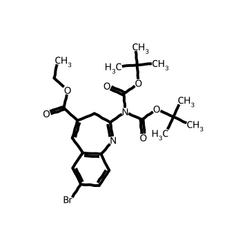 CCOC(=O)C1=Cc2cc(Br)ccc2N=C(N(C(=O)OC(C)(C)C)C(=O)OC(C)(C)C)C1